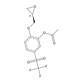 CC(=O)Oc1cc(S(=O)(=O)C(F)(F)F)ccc1OC[C@H]1CO1